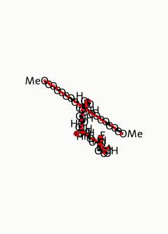 COCCOCCOCCOCCOCCOCCOCCOCCNC(=O)c1cc(N2C(=O)C=CC2=O)cc(C(=O)NCCOCCOCCOCCOCCOCCOCCOCCOC)c1OCCCC(=O)NCC(=O)NCC(=O)N[C@@H](Cc1ccccc1)C(=O)NCC(=O)NCOCC(=O)NCc1c2c(nc3cc(F)c(C)cc13)-c1cc3c(c(=O)n1C2)COC(=O)[C@]3(O)CC1CC1